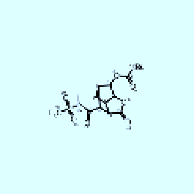 CC(C)(C)C(=O)OC1C2CC3C1OC(=O)C3C2C(=O)NS(=O)(=O)C(F)(F)F